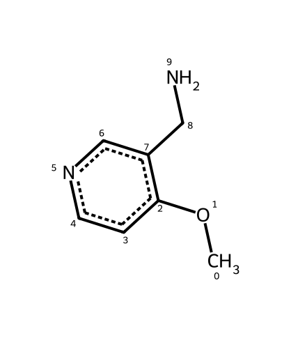 COc1ccncc1CN